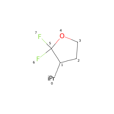 CC(C)C1CCOC1(F)F